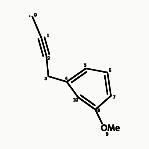 [CH2]C#CCc1cccc(OC)c1